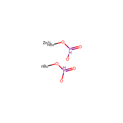 CCCCO[PH](=O)[O-].CCCCO[PH](=O)[O-].[Zn+2]